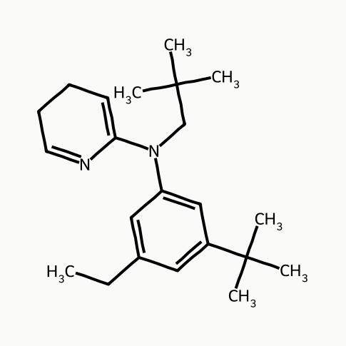 CCc1cc(N(CC(C)(C)C)C2=CCCC=N2)cc(C(C)(C)C)c1